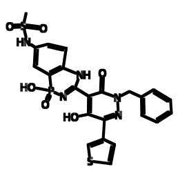 CS(=O)(=O)Nc1ccc2c(c1)P(=O)(O)N=C(c1c(O)c(-c3ccsc3)nn(Cc3ccccc3)c1=O)N2